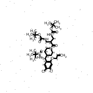 C=CCOc1cc(Cl)c(Cl)cc1[C@H](N[S+]([O-])C(C)(C)C)C1CCN(C(=O)C(CNC(=O)OC(C)(C)C)CNC(=O)OC(C)(C)C)CC1